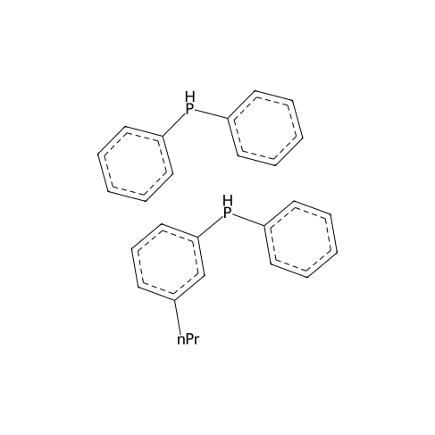 CCCc1cccc(Pc2ccccc2)c1.c1ccc(Pc2ccccc2)cc1